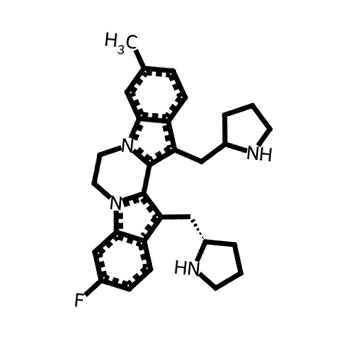 Cc1ccc2c(CC3CCCN3)c3n(c2c1)CCn1c-3c(C[C@@H]2CCCN2)c2ccc(F)cc21